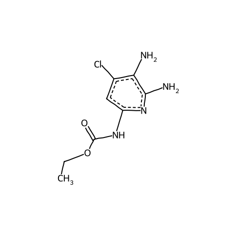 CCOC(=O)Nc1cc(Cl)c(N)c(N)n1